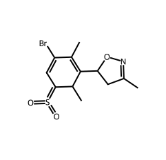 CC1=NOC(C2=C(C)C(Br)=CC(=S(=O)=O)C2C)C1